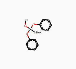 CCCCCC[Si](OCC)(Oc1ccccc1)Oc1ccccc1